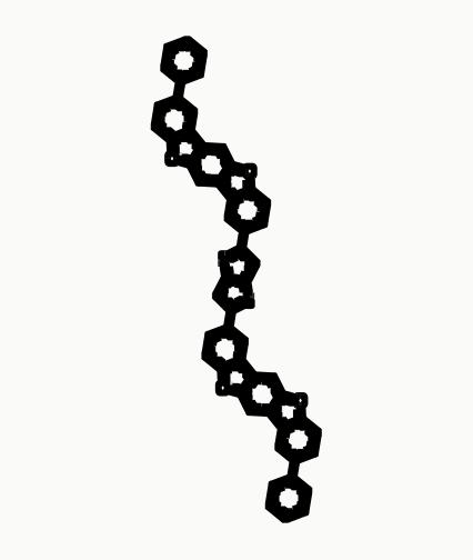 c1ccc(-c2ccc3oc4cc5c(cc4c3c2)oc2ccc(-c3cc4sc(-c6ccc7oc8cc9c(cc8c7c6)oc6ccc(-c7ccccc7)cc69)cc4s3)cc25)cc1